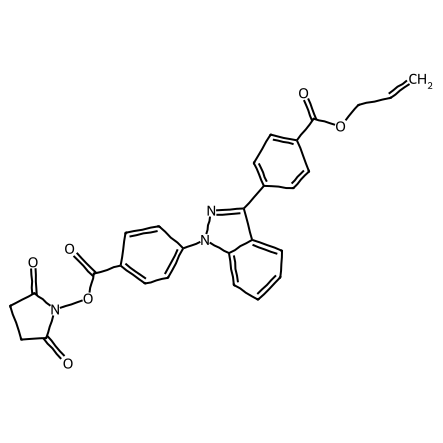 C=CCOC(=O)c1ccc(-c2nn(-c3ccc(C(=O)ON4C(=O)CCC4=O)cc3)c3ccccc23)cc1